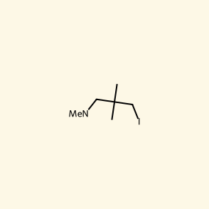 CNCC(C)(C)CI